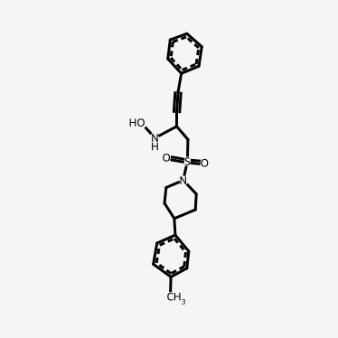 Cc1ccc(C2CCN(S(=O)(=O)CC(C#Cc3ccccc3)NO)CC2)cc1